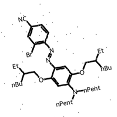 CCCCCN(CCCCC)c1cc(OCC(CC)CCCC)c(N=Nc2ccc(C#N)cc2Br)cc1OCC(CC)CCCC